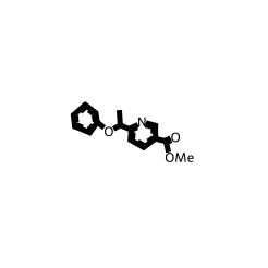 COC(=O)c1ccc(C(C)Oc2ccccc2)nc1